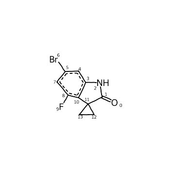 O=C1Nc2cc(Br)cc(F)c2C12CC2